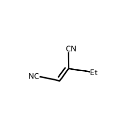 CCC(C#N)=CC#N